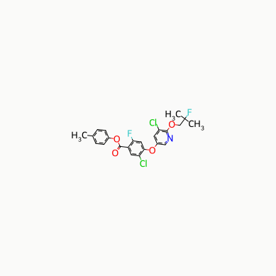 Cc1ccc(OC(=O)c2cc(Cl)c(Oc3cnc(OCC(C)(C)F)c(Cl)c3)cc2F)cc1